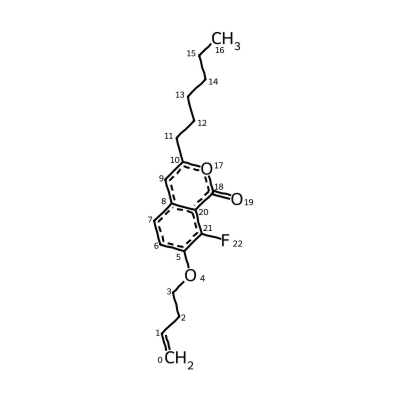 C=CCCOc1ccc2cc(CCCCCC)oc(=O)c2c1F